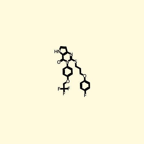 O=c1c2[nH]ccc2nc(SCCCOc2ccc(F)cc2)n1-c1ccc(OCC(F)(F)F)cc1